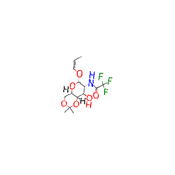 C/C=C\O[C@H]1O[C@@H]2COC(C)(C)O[C@H]2[C@H](O)[C@H]1NC(=O)C(F)(F)F